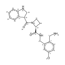 NCc1ccc(Cl)cc1CNC(=O)[C@@H]1CCN1C(=O)C1CNc2ccccc21